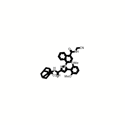 COc1cccc(OC)c1-c1cc(C(=O)NC2(C(=O)O)C3CC4CC(C3)CC2C4)nn1-c1ccc(C(=O)NCC#N)c2ccccc12